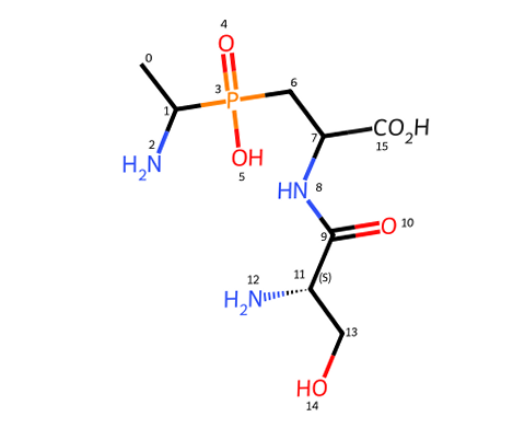 CC(N)P(=O)(O)CC(NC(=O)[C@@H](N)CO)C(=O)O